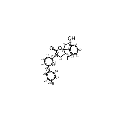 O=C1OC(CCO)(c2ccccc2F)CCN1c1cccc(-c2ccc(F)cc2)n1